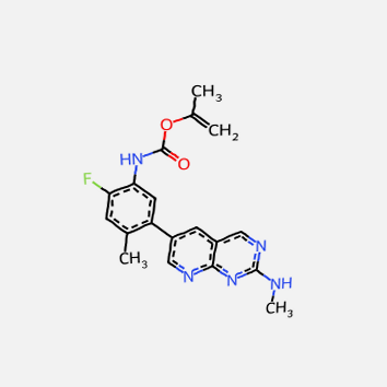 C=C(C)OC(=O)Nc1cc(-c2cnc3nc(NC)ncc3c2)c(C)cc1F